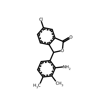 Cc1ccc(C2OC(=O)c3cc(Cl)ccc32)c(N)c1C